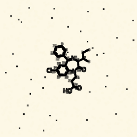 CCC(C)[C@@H]1N=C(c2ccccc2)c2cc(Cl)ccc2N(CCC(=O)O)C1=O